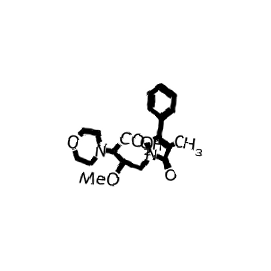 COC(Cn1oc(-c2ccccc2)c(C)c1=O)C(C(=O)O)N1CCOCC1